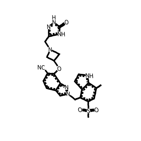 Cc1cc(S(C)(=O)=O)c(Cn2cc3ccc(C#N)c(OC4CN(Cc5n[nH]c(=O)[nH]5)C4)c3n2)c2cc[nH]c12